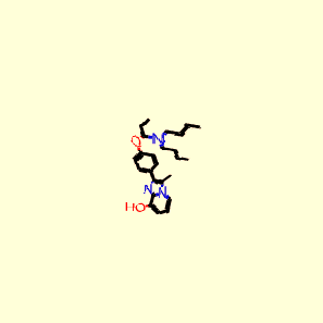 CCCCN(CCCC)C(CC)Oc1ccc(-c2nc3c(O)cccn3c2C)cc1